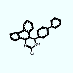 ClC1=Nc2c(c3ccccc3c3ccccc23)C(c2ccc(-c3ccccc3)cc2)N1